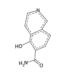 NC(=O)c1ccc2cnccc2c1O